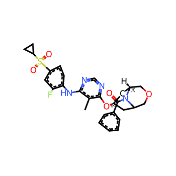 Cc1c(Nc2ccc(S(=O)(=O)C3CC3)cc2F)ncnc1O[C@@H]1CC2COC[C@@H](C1)N2C(=O)c1ccccc1